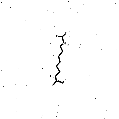 FC(F)[SiH2]CCCCCC[SiH2]C(F)F